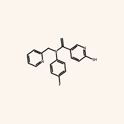 C=C(c1ccc(S)nc1)N(Cc1ccccn1)c1ccc(F)cc1